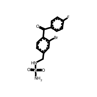 NS(=O)(=O)NCc1ccc(C(=O)c2ccc(F)cc2)c(Br)c1